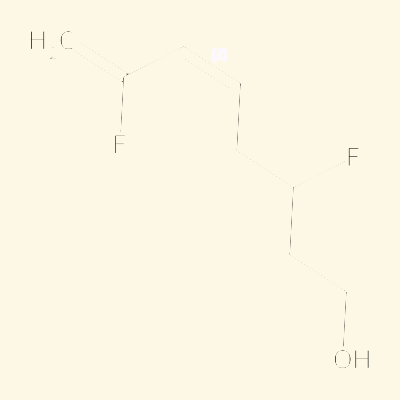 C=C(F)/C=C\CC(F)CCO